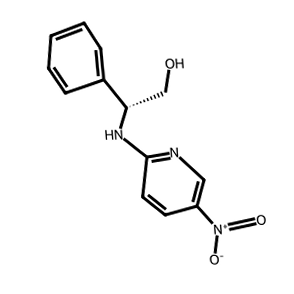 O=[N+]([O-])c1ccc(N[C@@H](CO)c2ccccc2)nc1